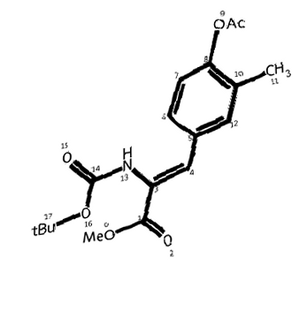 COC(=O)C(=Cc1ccc(OC(C)=O)c(C)c1)NC(=O)OC(C)(C)C